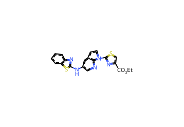 CCOC(=O)c1csc(-n2ccc3cc(Nc4nc5ccccc5s4)cnc32)n1